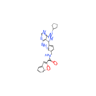 Nc1ncnc2c1c(-c1ccc(CNC(=O)c3cc4ccccc4o3)cc1)nn2C1CCCC1